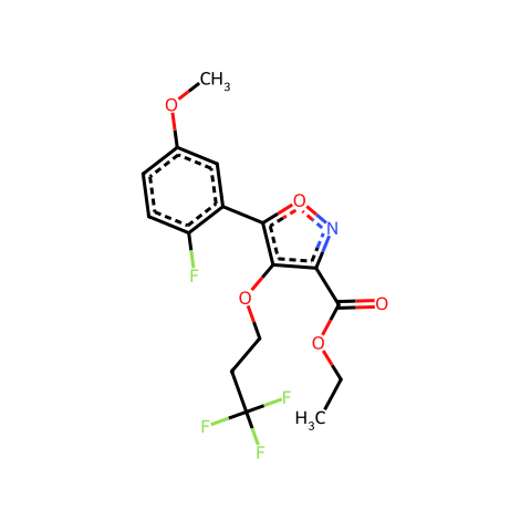 CCOC(=O)c1noc(-c2cc(OC)ccc2F)c1OCCC(F)(F)F